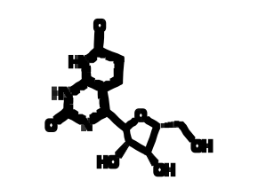 O=c1ccc2c(C3O[C@H](CO)[C@@H](O)[C@H]3O)nc(=O)[nH]c2[nH]1